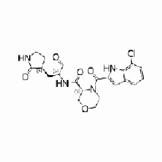 O=C[C@H](C[C@@H]1CCNC1=O)NC(=O)[C@@H]1COCCN1C(=O)c1cc2cccc(Cl)c2[nH]1